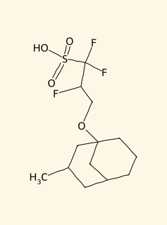 CC1CC2CCCC(OCC(F)C(F)(F)S(=O)(=O)O)(C1)C2